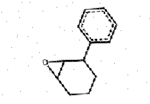 c1ccc(C2CCCC3OC32)cc1